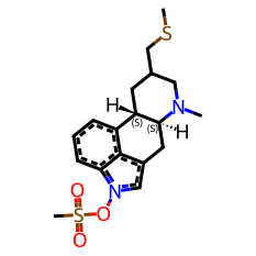 CSCC1C[C@H]2c3cccc4c3c(cn4OS(C)(=O)=O)C[C@@H]2N(C)C1